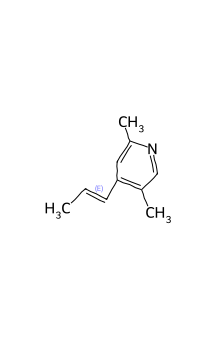 C/C=C/c1cc(C)ncc1C